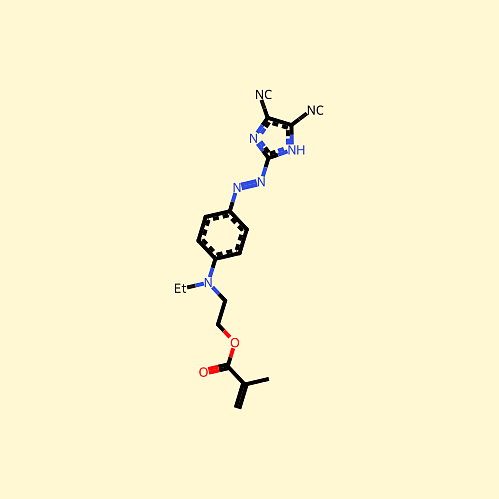 [C-]#[N+]c1nc(N=Nc2ccc(N(CC)CCOC(=O)C(=C)C)cc2)[nH]c1[N+]#[C-]